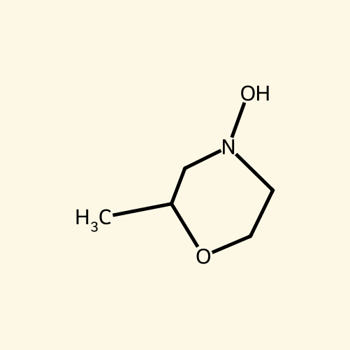 CC1CN(O)CCO1